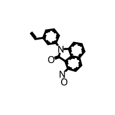 C=Cc1cccc(N2C(=O)c3c(N=O)ccc4cccc2c34)c1